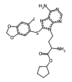 Nc1ncnc2c1nc(Sc1cc3c(cc1I)OCO3)n2CCC(N)C(=O)OC1CCCC1